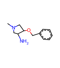 CN1CC(N)C(OCc2ccccc2)C1